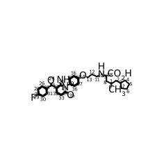 CC(CC1CCCC1)CC(NCCCOc1ccc(-n2c(N)c(C(=O)c3ccc(F)cc3)ccc2=O)cc1)C(=O)O